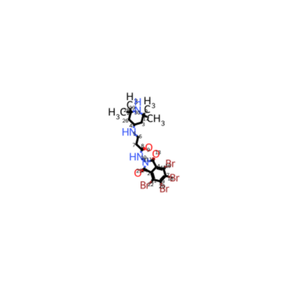 CC1(C)CC(NCCC(=O)NN2C(=O)c3c(Br)c(Br)c(Br)c(Br)c3C2=O)CC(C)(C)N1